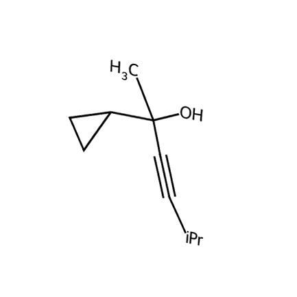 CC(C)C#CC(C)(O)C1CC1